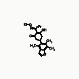 CCCC(=NOCC)C1=C(O)CC(c2c(C)c(C)c3occc3c2C)CC1=O